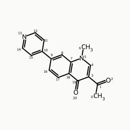 CC(=O)c1cn(C)c2cc(-c3ccncc3)ccc2c1=O